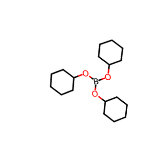 C1CCC(OB(OC2CCCCC2)OC2CCCCC2)CC1